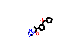 CC(C(=O)n1cncn1)c1cccc(C(=O)c2ccccc2)c1